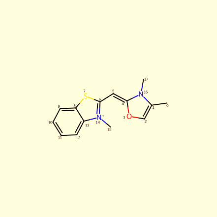 CC1=COC(=Cc2sc3ccccc3[n+]2C)N1C